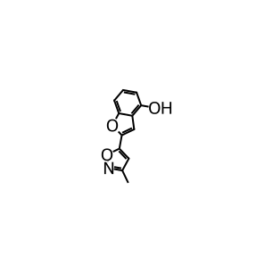 Cc1cc(-c2cc3c(O)cccc3o2)on1